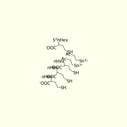 CC(=O)C[CH2][Sn+3].CC(=O)C[CH2][Sn+3].CCCCCCC(CCS)C(=O)[O-].CCCCCCC(CCS)C(=O)[O-].CCCCCCC(CCS)C(=O)[O-].CCCCCCC(CCS)C(=O)[O-].[S-2]